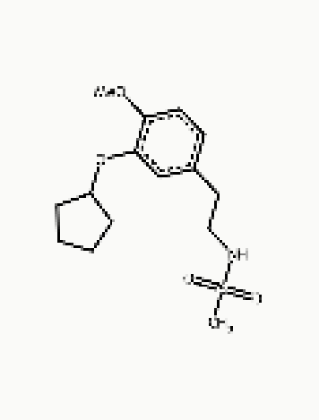 COc1ccc(CCNS(C)(=O)=O)cc1OC1CCCC1